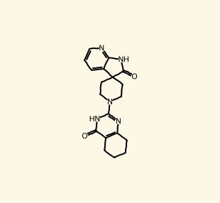 O=C1Nc2ncccc2C12CCN(c1nc3c(c(=O)[nH]1)CCCC3)CC2